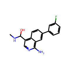 CNC(O)c1cnc(N)c2cc(-c3cccc(F)c3)ccc12